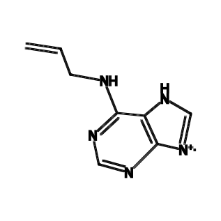 C=CCNc1ncnc2c1NC=[N+]2